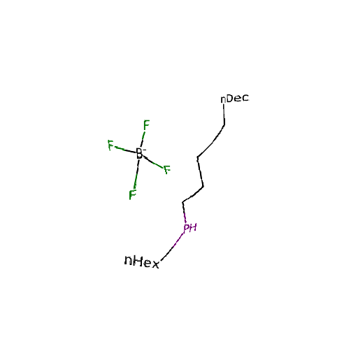 CCCCCCCCCCCCCCPCCCCCC.F[B-](F)(F)F